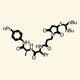 CCCCC(CCCC)SC1CC(=O)N(CCC(=O)NC(C(=O)N[C@@H](C)C(=O)Nc2ccc(CCC)cc2)C(C)C)C1=O